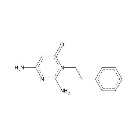 Nc1cc(=O)n(CCc2ccccc2)c(N)n1